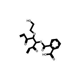 C=CC(=O)C(OCCO)C(OC(=O)c1ccccc1C(=O)O)C(=O)C=C